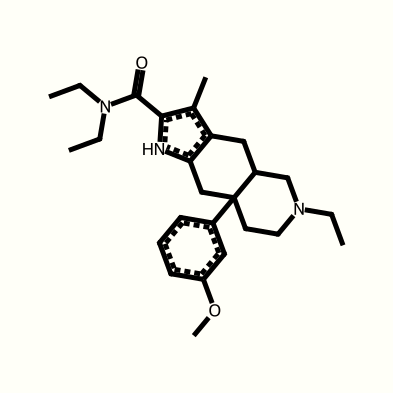 CCN1CCC2(c3cccc(OC)c3)Cc3[nH]c(C(=O)N(CC)CC)c(C)c3CC2C1